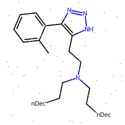 CCCCCCCCCCCCN(CCCCCCCCCCCC)CCc1[nH]nnc1-c1ccccc1C